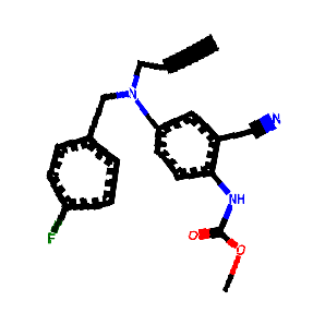 C#CCN(Cc1ccc(F)cc1)c1ccc(NC(=O)OC)c(C#N)c1